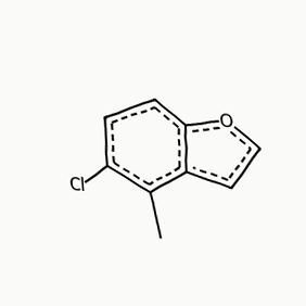 Cc1c(Cl)ccc2occc12